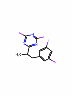 C[C@H](Cc1cc(I)cc(I)c1)c1nc(I)nc(I)n1